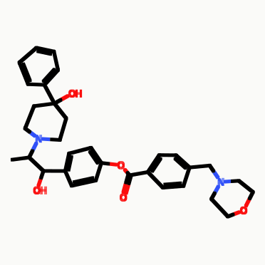 CC(C(O)c1ccc(OC(=O)c2ccc(CN3CCOCC3)cc2)cc1)N1CCC(O)(c2ccccc2)CC1